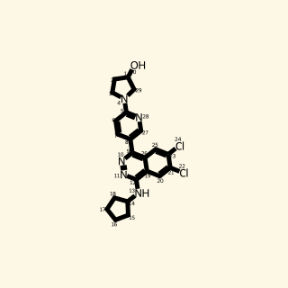 OC1CCN(c2ccc(-c3nnc(NC4CCCC4)c4cc(Cl)c(Cl)cc34)cn2)C1